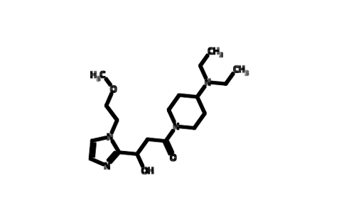 CCN(CC)C1CCN(C(=O)CC(O)c2nccn2CCOC)CC1